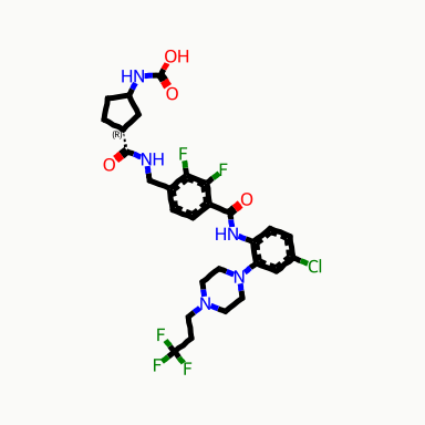 O=C(O)NC1CC[C@@H](C(=O)NCc2ccc(C(=O)Nc3ccc(Cl)cc3N3CCN(CCC(F)(F)F)CC3)c(F)c2F)C1